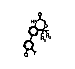 CC1(C)OCC(=O)Nc2ccc(-c3ccc(Cl)c(F)c3)cc21